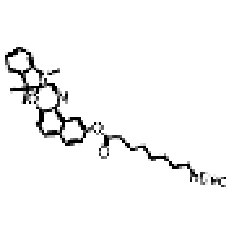 CCCCCCCCCCCCCCCCCC(=O)Oc1ccc2ccc3c(c2c1)N=CC1(O3)N(C)c2ccccc2C1(C)C